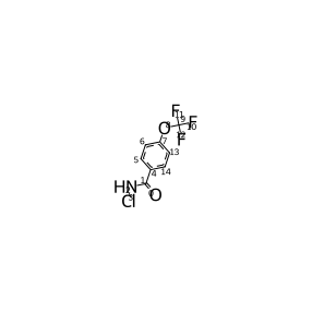 O=C(NCl)c1ccc(OC(F)(F)F)cc1